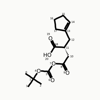 CC(C)(C)OC(=O)OC(=O)C[C@@H](CC1=CCCC1)C(=O)O